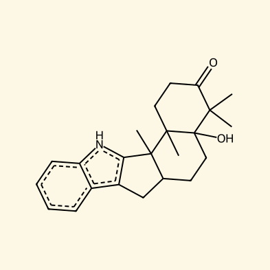 CC1(C)C(=O)CCC2(C)C3(C)c4[nH]c5ccccc5c4CC3CCC12O